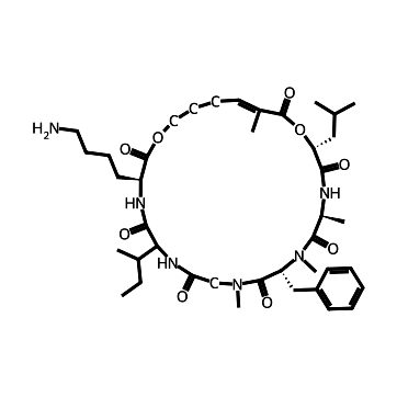 CCC(C)C1NC(=O)CN(C)C(=O)[C@@H](Cc2ccccc2)N(C)C(=O)[C@H](C)NC(=O)[C@@H](CC(C)C)OC(=O)/C(C)=C/CCCOC(=O)[C@H](CCCCN)NC1=O